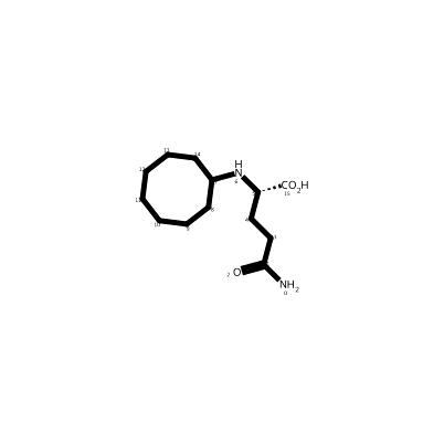 NC(=O)CC[C@H](NC1CCCCCCC1)C(=O)O